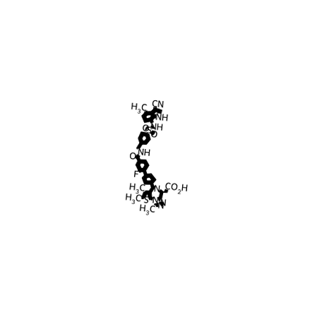 Cc1sc2c(c1C)C(c1ccc(-c3ccc(C(=O)NCc4ccc(S(=O)(=O)Nc5ccc(C)c6c(C#N)c[nH]c56)cc4)cc3F)cc1)=N[C@@H](CC(=O)O)c1nnc(C)n1-2